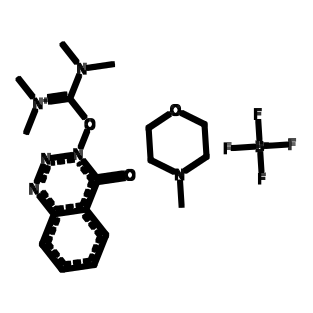 CN(C)C(On1nnc2ccccc2c1=O)=[N+](C)C.CN1CCOCC1.F[B-](F)(F)F